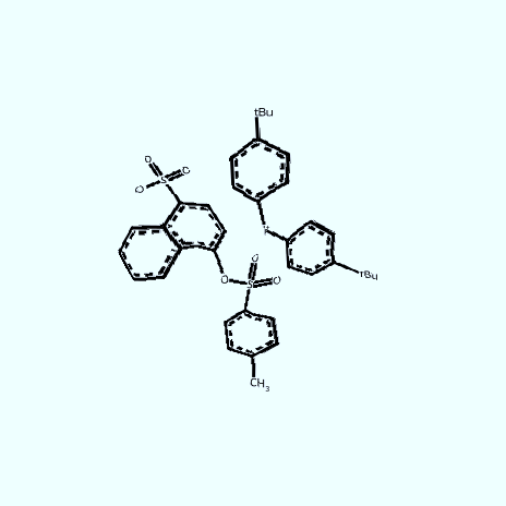 CC(C)(C)c1ccc([I+]c2ccc(C(C)(C)C)cc2)cc1.Cc1ccc(S(=O)(=O)Oc2ccc(S(=O)(=O)[O-])c3ccccc23)cc1